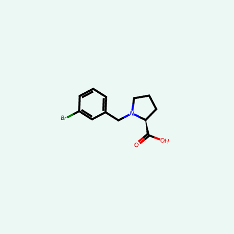 O=C(O)[C@@H]1CCCN1Cc1cccc(Br)c1